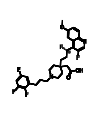 COc1ccc2ncc(F)c([C@@H](F)CCC3(CC(=O)O)CCN(CCCc4cc(F)cc(F)c4F)CC3)c2c1